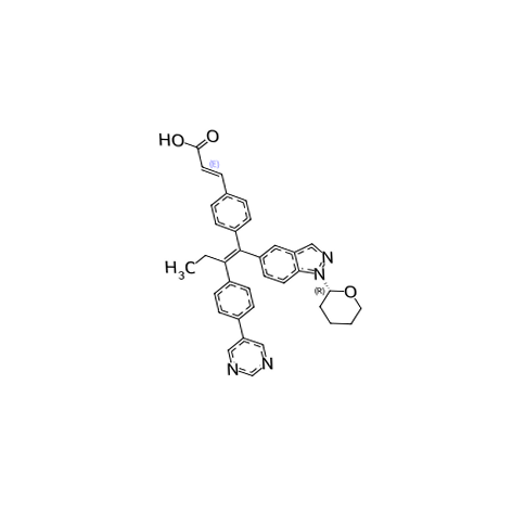 CCC(=C(c1ccc(/C=C/C(=O)O)cc1)c1ccc2c(cnn2[C@H]2CCCCO2)c1)c1ccc(-c2cncnc2)cc1